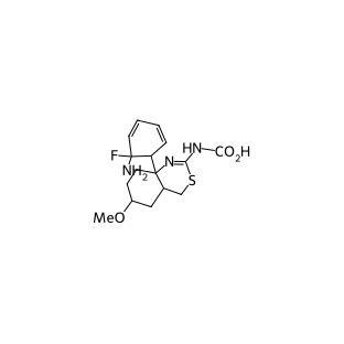 COC1CCC2(C3C=CC=CC3(N)F)N=C(NC(=O)O)SCC2C1